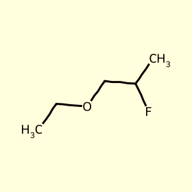 CCOCC(C)F